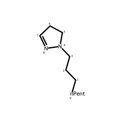 CCCCCCCCN1CCC=N1